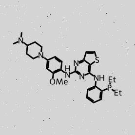 CCP(CC)c1ccccc1Nc1nc(Nc2ccc(N3CCC(N(C)C)CC3)cc2OC)nc2ccsc12